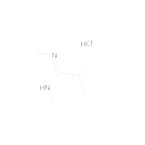 CN=C(NC)C(C)C.Cl